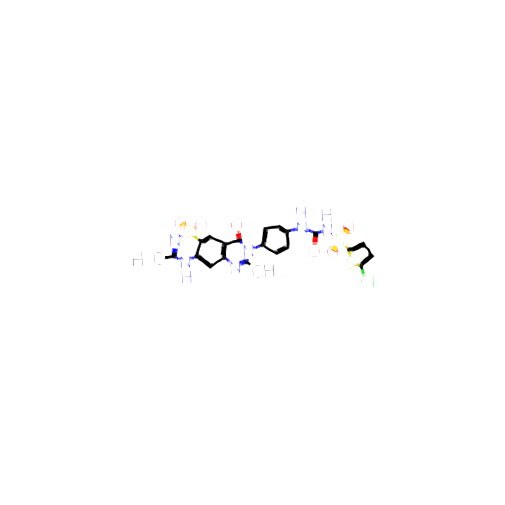 CC1=NS(=O)(=O)c2cc3c(=O)n(-c4ccc(NC(=O)NS(=O)(=O)c5ccc(Cl)s5)cc4)c(C)nc3cc2N1